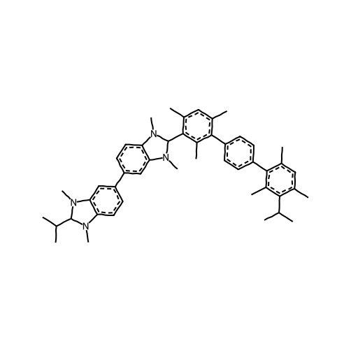 Cc1cc(C)c(C(C)C)c(C)c1-c1ccc(-c2c(C)cc(C)c(C3N(C)c4ccc(-c5ccc6c(c5)N(C)C(C(C)C)N6C)cc4N3C)c2C)cc1